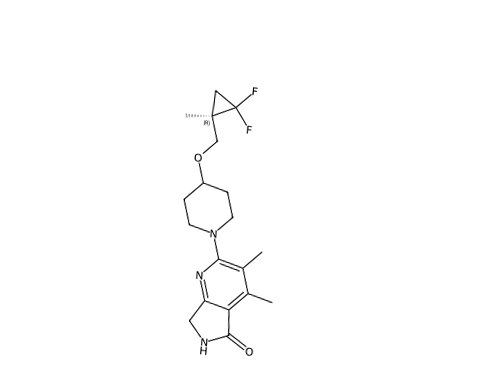 Cc1c(N2CCC(OC[C@@]3(C)CC3(F)F)CC2)nc2c(c1C)C(=O)NC2